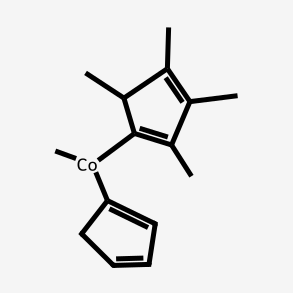 CC1=C(C)C(C)[C]([Co]([CH3])[C]2=CC=CC2)=C1C